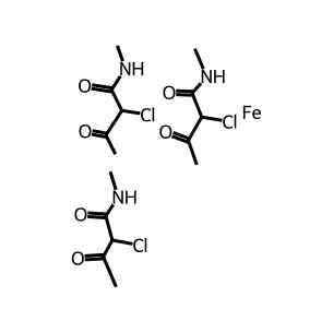 CNC(=O)C(Cl)C(C)=O.CNC(=O)C(Cl)C(C)=O.CNC(=O)C(Cl)C(C)=O.[Fe]